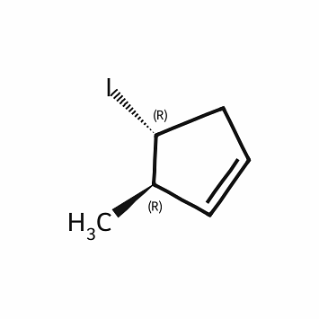 C[C@@H]1C=CC[C@H]1I